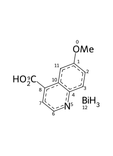 COc1ccc2nccc(C(=O)O)c2c1.[BiH3]